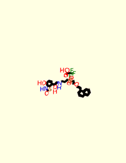 O=C(O)C(F)(F)F.O=c1[nH]c2c(O)ccc([C@@H](O)CNCCCS(=O)(=O)CCOCCc3cccc4ccccc34)c2s1